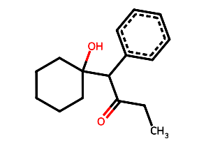 CCC(=O)C(c1ccccc1)C1(O)CCCCC1